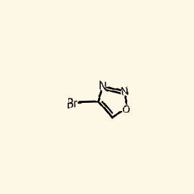 Brc1conn1